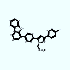 O=C(O)Cn1nc(-c2ccc(F)cc2)cc1-c1ccc(-c2cccc3c2oc2ccccc23)cc1